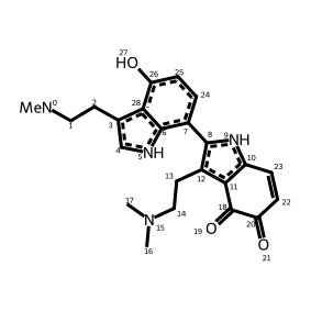 CNCCc1c[nH]c2c(-c3[nH]c4c(c3CCN(C)C)C(=O)C(=O)C=C4)ccc(O)c12